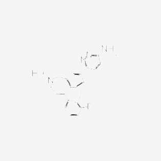 CN1CCC(c2cccc(F)c2F)c2ccc(-c3ccc(N)nn3)cc2C1